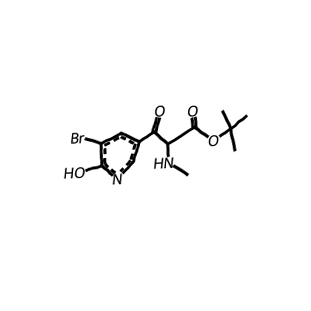 CNC(C(=O)OC(C)(C)C)C(=O)c1cnc(O)c(Br)c1